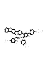 CC(C)(C)c1ccc(Nc2cc3sc4cc(C(C)(C)C)ccc4c3cc2-c2ccc3c4cc5sc6ccccc6c5cc4n4c3c2Bc2sc3ccc(C(C)(C)C)cc3c2-4)cc1